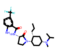 CCC[C@@H]1C[C@H](N(C)C(C)C)CC[C@@H]1N1CC[C@H](NC(=O)c2cc(C(F)(F)F)ccc2N)C1=O